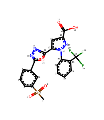 CS(=O)(=O)c1cccc(-c2nnc(-c3cc(C(=O)O)nn3-c3ccccc3C(F)(F)F)o2)c1